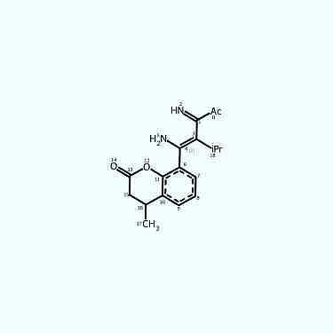 CC(=O)C(=N)/C(=C(\N)c1cccc2c1OC(=O)CC2C)C(C)C